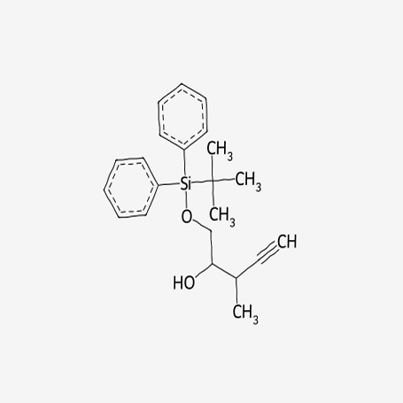 C#CC(C)C(O)CO[Si](c1ccccc1)(c1ccccc1)C(C)(C)C